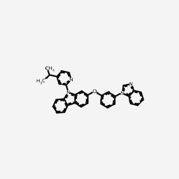 CC(C)c1ccnc(-n2c3ccccc3c3ccc(Oc4cccc(-n5cnc6ccccc65)c4)cc32)c1